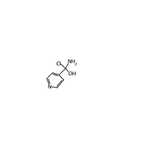 NC(O)(Cl)c1ccncc1